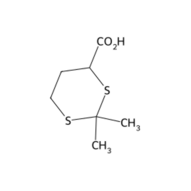 CC1(C)SCCC(C(=O)O)S1